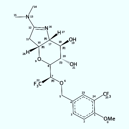 COc1ccc(CO[C@H](C2O[C@@H]3CC(N(C)C)=N[C@@H]3[C@@H](O)[C@@H]2O)C(F)(F)F)cc1C(F)(F)F